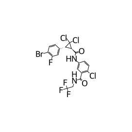 O=C(NCC(F)(F)F)c1cc(NC(=O)[C@H]2[C@H](c3ccc(Br)c(F)c3)C2(Cl)Cl)ccc1Cl